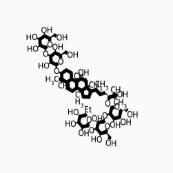 CC[C@@H]1OC(O[C@H]2[C@H](O)[C@@H](O[C@H]3[C@H](O[C@H](CC[C@@H](C)C4CC[C@@]5(C)C6CC=C7C(CC[C@H](O[C@@H]8O[C@H](CO)[C@@H](O)[C@H](O[C@@H]9O[C@H](CO)[C@@H](O)[C@H](O)[C@H]9O)[C@H]8O)C7(C)C)[C@]6(C)[C@H](O)C[C@]45C)C(C)(C)O)O[C@H](CO)[C@@H](O)[C@@H]3O)O[C@@H](CO)[C@@H]2O)[C@@H](O)[C@H](O)[C@H]1O